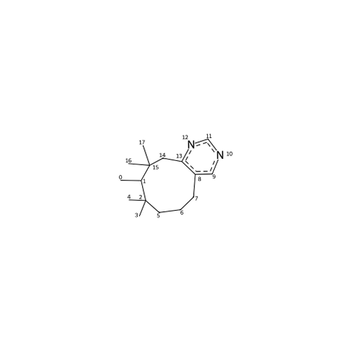 CC1C(C)(C)CCCc2cncnc2CC1(C)C